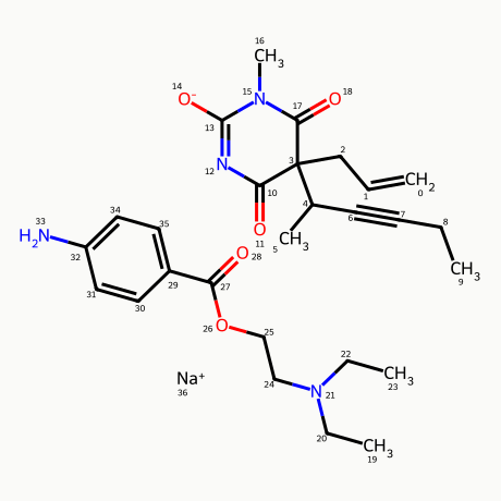 C=CCC1(C(C)C#CCC)C(=O)N=C([O-])N(C)C1=O.CCN(CC)CCOC(=O)c1ccc(N)cc1.[Na+]